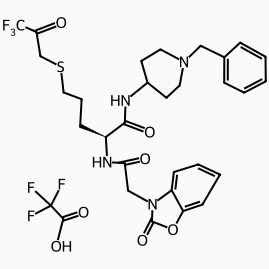 O=C(Cn1c(=O)oc2ccccc21)N[C@@H](CCCSCC(=O)C(F)(F)F)C(=O)NC1CCN(Cc2ccccc2)CC1.O=C(O)C(F)(F)F